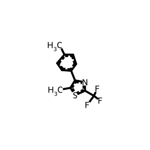 Cc1ccc(-c2nc(C(F)(F)F)sc2C)cc1